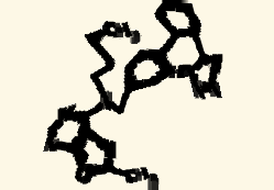 CCCCN(Cc1ccc(-c2ccccc2-c2nnn[nH]2)cc1)c1ncnc2oc(C)nc12